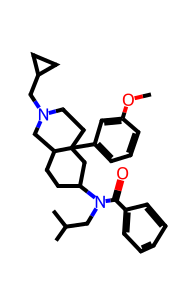 COc1cccc(C23CCN(CC4CC4)CC2CCC(N(CC(C)C)C(=O)c2ccccc2)C3)c1